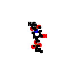 CS(=O)(=O)OCC1CCN(S(C)(=O)=O)CC1O